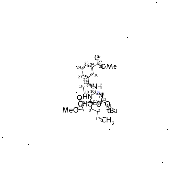 C=CCCC(CC)(CCOC)N/C(=N\C(=O)OC(C)(C)C)N[C@H](CCOC=O)c1cccc(C(=O)OC)c1